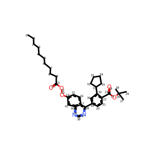 CCCCCCCCCCC(=O)OOc1ccc2c(-c3ccc(C(=O)OC(C)(C)C)c(C4CCCC4)c3)ncnc2c1